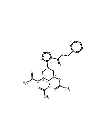 CC(=O)O[C@H]1[C@@H](OC(C)=O)CN(c2occc2C(=O)OCc2ccccc2)C[C@H]1OC(C)=O